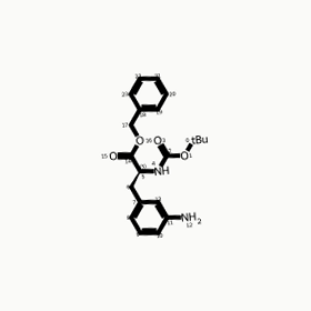 CC(C)(C)OC(=O)N[C@@H](Cc1cccc(N)c1)C(=O)OCc1ccccc1